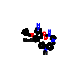 CCn1c2ccccc2c2cc(CN3CCC(NC(=O)OC(Cc4ccc(OC)c(OCc5ccccc5)c4)C4CCCNC4)C3)ccc21